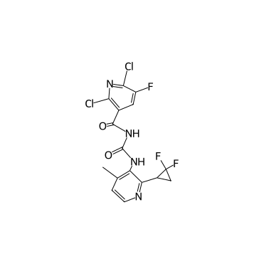 Cc1ccnc(C2CC2(F)F)c1NC(=O)NC(=O)c1cc(F)c(Cl)nc1Cl